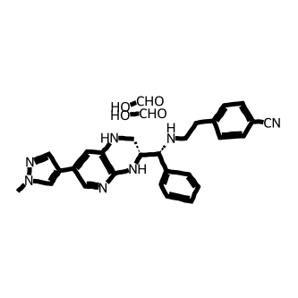 Cn1cc(-c2cnc3c(c2)NC[C@H]([C@H](NCCc2ccc(C#N)cc2)c2ccccc2)N3)cn1.O=CO.O=CO